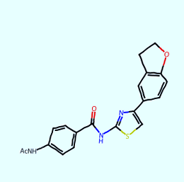 CC(=O)Nc1ccc(C(=O)Nc2nc(-c3ccc4c(c3)CCO4)cs2)cc1